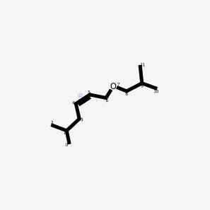 CC(C)C/C=C\COCC(C)C